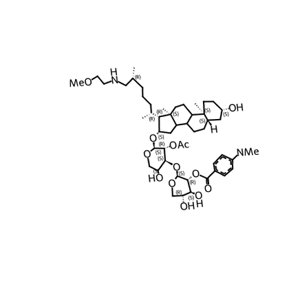 CNc1ccc(C(=O)O[C@H]2[C@H](O[C@@H]3[C@@H](OC(C)=O)[C@H](O[C@H]4CC5C6CC[C@H]7C[C@@H](O)CC[C@]7(C)C6CC[C@]5(C)[C@H]4[C@H](C)CCC[C@@H](C)CNCCOC)OC[C@@H]3O)OC[C@@H](O)[C@@H]2O)cc1